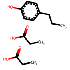 CCC(=O)O.CCC(=O)O.CCCc1ccc(O)cc1